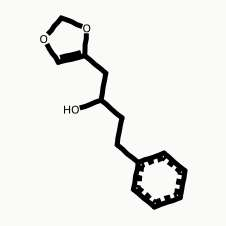 OC(CCc1ccccc1)CC1=COCO1